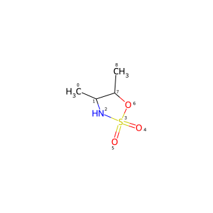 CC1NS(=O)(=O)OC1C